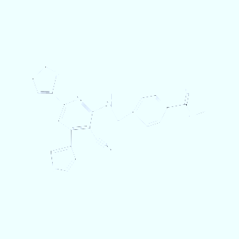 COC(=O)c1ccc(CNc2nc(C3=CCCS3)cc(-c3ccoc3)c2C#N)cc1